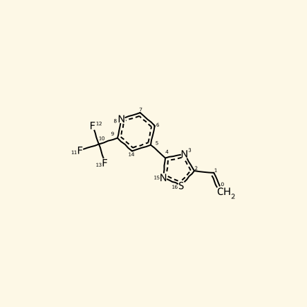 C=Cc1nc(-c2ccnc(C(F)(F)F)c2)ns1